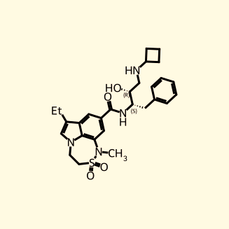 CCc1cn2c3c(cc(C(=O)N[C@@H](Cc4ccccc4)[C@H](O)CNC4CCC4)cc13)N(C)S(=O)(=O)CC2